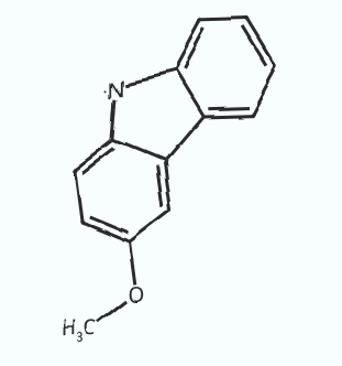 COc1ccc2c(c1)-c1ccccc1[N]2